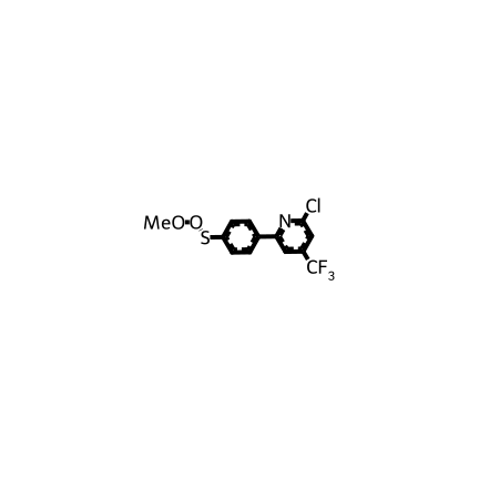 COOSc1ccc(-c2cc(C(F)(F)F)cc(Cl)n2)cc1